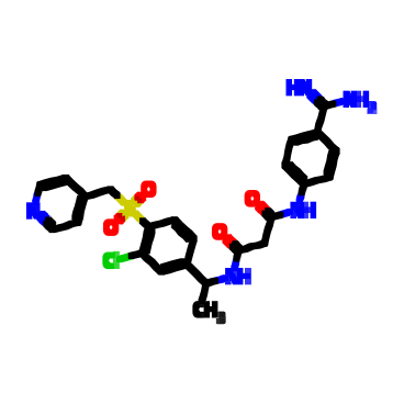 CC(NC(=O)CC(=O)Nc1ccc(C(=N)N)cc1)c1ccc(S(=O)(=O)Cc2ccncc2)c(Cl)c1